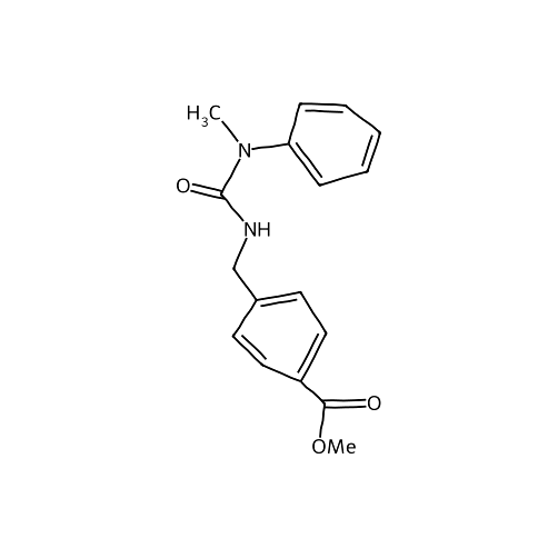 COC(=O)c1ccc(CNC(=O)N(C)c2ccccc2)cc1